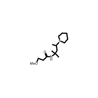 COCCC(=O)NC(C)(C)CC(C)N1CCCCC1